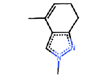 CC1=CCCc2nn(C)cc21